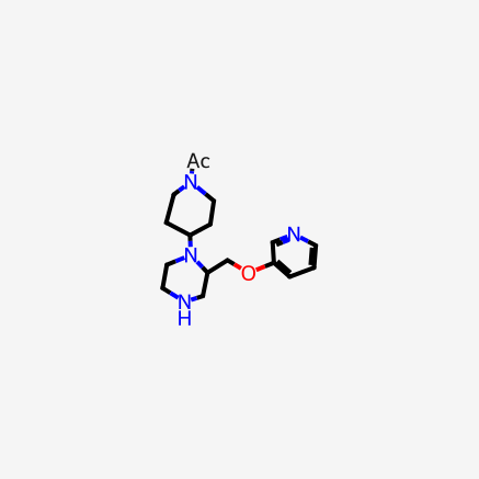 CC(=O)N1CCC(N2CCNCC2COc2cccnc2)CC1